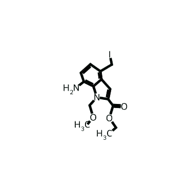 CCOC(=O)c1cc2c(CI)ccc(N)c2n1COC